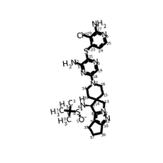 CC(C)(C)[S+]([O-])N[C@@H]1c2c3c(nn2CC12CCN(c1cnc(Sc4ccnc(N)c4Cl)c(N)n1)CC2)CCC3